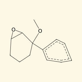 COC1(c2ccccc2)CCCC2OC21